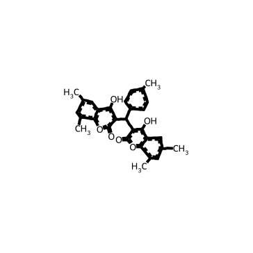 Cc1ccc(C(c2c(O)c3cc(C)cc(C)c3oc2=O)c2c(O)c3cc(C)cc(C)c3oc2=O)cc1